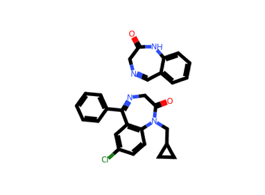 O=C1CN=C(c2ccccc2)c2cc(Cl)ccc2N1CC1CC1.O=C1CN=Cc2ccccc2N1